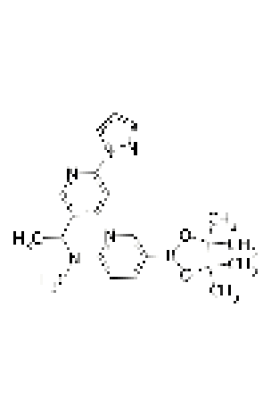 CC(c1ccc(-n2cccn2)nc1)N(C)c1ccc(B2OC(C)(C)C(C)(C)O2)cn1